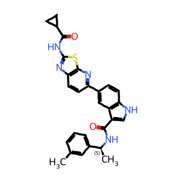 Cc1cccc([C@H](C)NC(=O)c2c[nH]c3ccc(-c4ccc5nc(NC(=O)C6CC6)sc5n4)cc23)c1